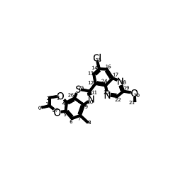 [CH2]C1COc2c(cc(C)c3nc(-c4cc(Cl)cc5nc(OC)cnc45)sc23)O1